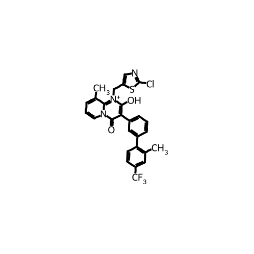 Cc1cc(C(F)(F)F)ccc1-c1cccc(-c2c(O)[n+](Cc3cnc(Cl)s3)c3c(C)cccn3c2=O)c1